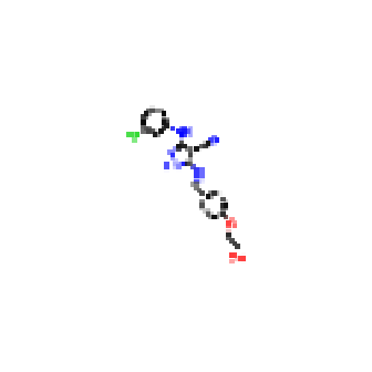 N#Cc1c(Nc2cccc(Cl)c2)n[nH]c1/N=C/c1ccc(OCCO)cc1